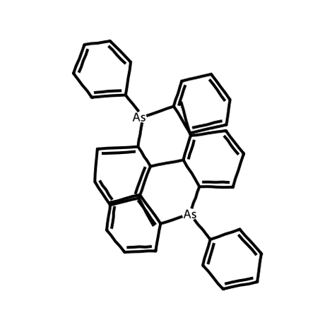 Cc1cccc([As](c2ccccc2)c2ccccc2)c1-c1c(C)cccc1[As](c1ccccc1)c1ccccc1